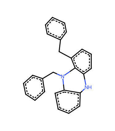 c1ccc(Cc2cccc3c2N(Cc2ccccc2)c2ccccc2N3)cc1